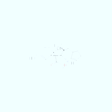 C#CC(C(C)=CC1C=CCC1)C1(C(=O)O)C(C=CC)C1(C)C